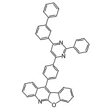 c1ccc(-c2cccc(-c3cc(-c4ccc(-c5c6ccccc6nc6oc7ccccc7c56)cc4)nc(-c4ccccc4)n3)c2)cc1